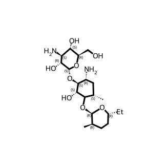 CC[C@@H]1CC[C@@H](C)[C@@H](OC2[C@@H](C)C[C@@H](N)[C@H](O[C@H]3O[C@H](CO)[C@@H](O)[C@H](N)[C@H]3O)[C@H]2O)O1